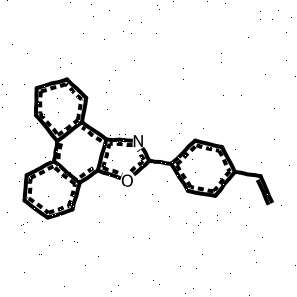 C=Cc1ccc(-c2nc3c4ccccc4c4ccccc4c3o2)cc1